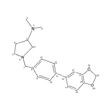 CN(C)C1CCN(Cc2ccc(-c3ccc4c(c3)OCO4)cc2)C1